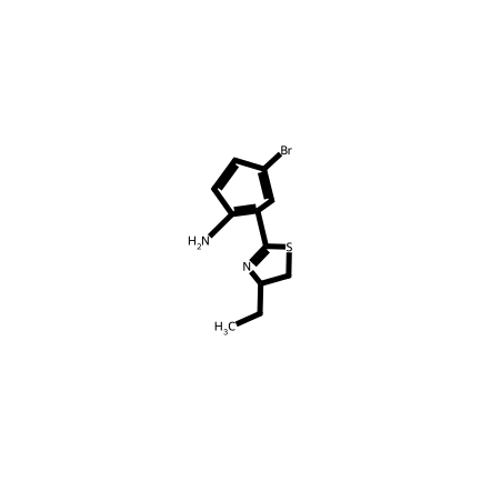 CCC1CSC(c2cc(Br)ccc2N)=N1